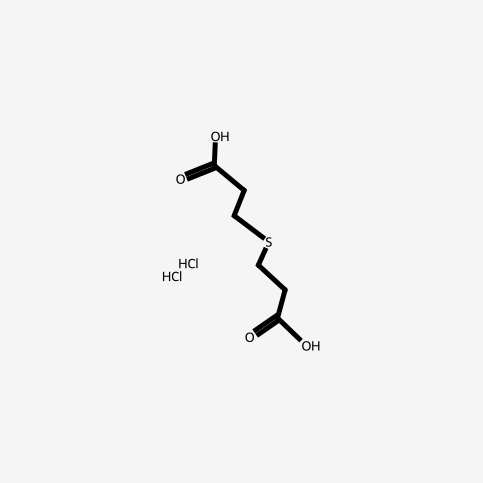 Cl.Cl.O=C(O)CCSCCC(=O)O